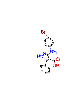 O=C(O)c1c(Nc2ccc(Br)cc2)n[nH]c1-c1ccccc1